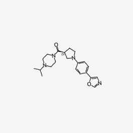 CC(C)N1CCN(C(=O)[C@H]2CCN(c3ccc(-c4cnco4)cc3)C2)CC1